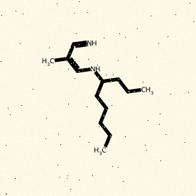 CCCCCC(CCC)N/C=C(/C)C=N